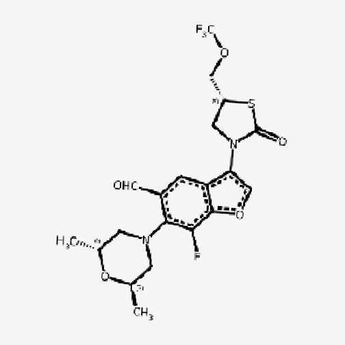 C[C@@H]1CN(c2c(C=O)cc3c(N4C[C@H](COC(F)(F)F)SC4=O)coc3c2F)C[C@@H](C)O1